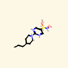 CCCC1CCN(c2ncc([S+]([O-])N=O)cn2)CC1